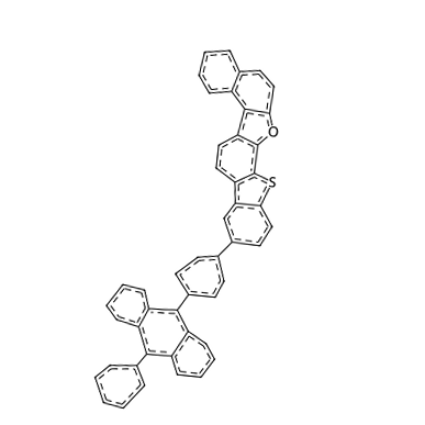 c1ccc(-c2c3ccccc3c(-c3ccc(-c4ccc5sc6c(ccc7c6oc6ccc8ccccc8c67)c5c4)cc3)c3ccccc23)cc1